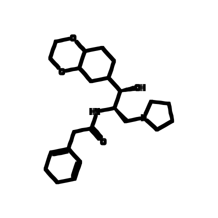 O=C(CC1=CCCC=C1)N[C@H](CN1CCCC1)[C@H](O)C1CCC2OCCOC2C1